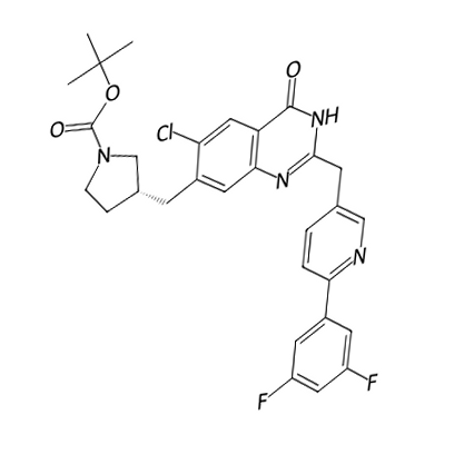 CC(C)(C)OC(=O)N1CC[C@@H](Cc2cc3nc(Cc4ccc(-c5cc(F)cc(F)c5)nc4)[nH]c(=O)c3cc2Cl)C1